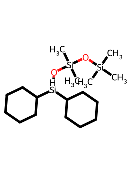 C[Si](C)(C)O[Si](C)(C)O[SiH](C1CCCCC1)C1CCCCC1